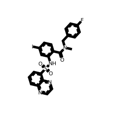 CN(Cc1ccc(F)cc1)C(=O)c1ccc(I)cc1NS(=O)(=O)c1cccc2nccnc12